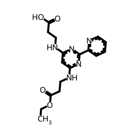 CCOC(=O)CCNc1cc(NCCC(=O)O)nc(-c2ccccn2)n1